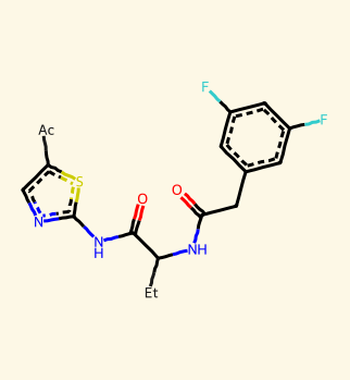 CCC(NC(=O)Cc1cc(F)cc(F)c1)C(=O)Nc1ncc(C(C)=O)s1